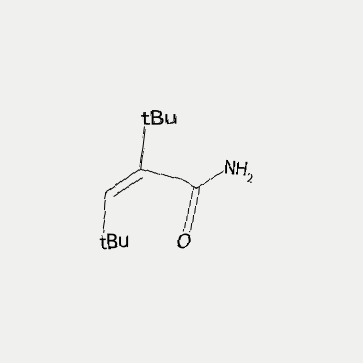 CC(C)(C)C=C(C(N)=O)C(C)(C)C